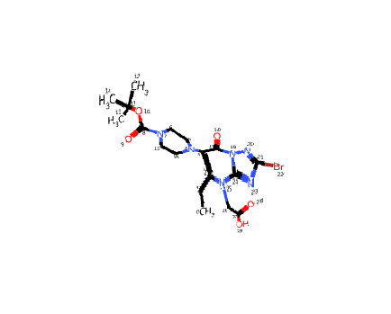 CCc1c(N2CCN(C(=O)OC(C)(C)C)CC2)c(=O)n2nc(Br)nc2n1CC(=O)O